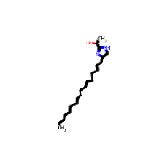 CCCCCCCCCCCCCCC=CCC1CNC(C(C)O)=N1